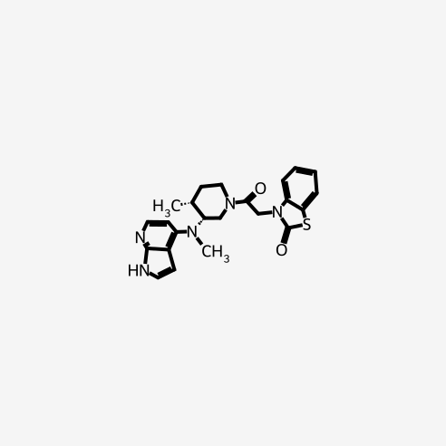 C[C@@H]1CCN(C(=O)Cn2c(=O)sc3ccccc32)C[C@@H]1N(C)c1ccnc2[nH]ccc12